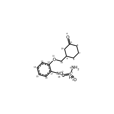 N[SH](=O)=O.O=C1CCCC(COc2ccccc2[N+](=O)[O-])C1